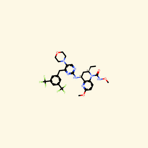 CC[C@@H]1C[C@H](Nc2ncc(N3CCOCC3)c(Cc3cc(C(F)(F)F)cc(C(F)(F)F)c3)n2)c2nc(OC)ccc2N1C(=O)NOC